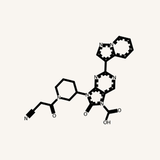 N#CCC(=O)N1CCCC(n2c(=O)n(C(=O)O)c3cnc(-c4cnn5ccccc45)nc32)C1